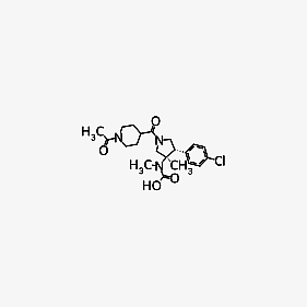 CC(=O)N1CCC(C(=O)N2C[C@H](c3ccc(Cl)cc3)[C@@](C)(N(C)C(=O)O)C2)CC1